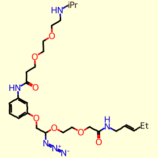 CC/C=C/CNC(=O)COCCOC(COc1cccc(NC(=O)CCOCCOCCNC(C)C)c1)N=[N+]=[N-]